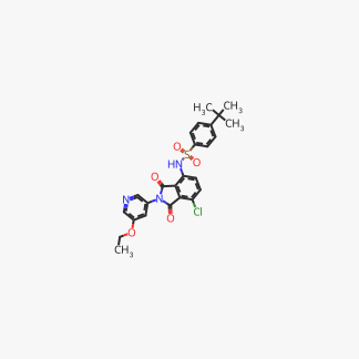 CCOc1cncc(N2C(=O)c3c(Cl)ccc(NS(=O)(=O)c4ccc(C(C)(C)C)cc4)c3C2=O)c1